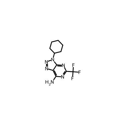 Nc1nc(C(F)(F)F)nc2c1nnn2C1CCCCC1